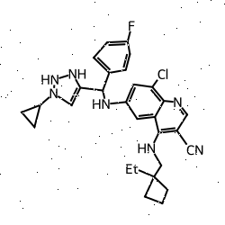 CCC1(CNc2c(C#N)cnc3c(Cl)cc(NC(C4=CN(C5CC5)NN4)c4ccc(F)cc4)cc23)CCC1